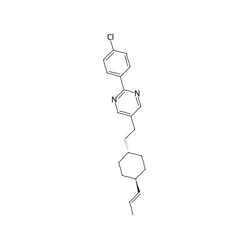 CC=C[C@H]1CC[C@H](CCc2cnc(-c3ccc(Cl)cc3)nc2)CC1